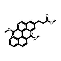 COC(=O)CCc1ccc2c(-c3c(C(=O)OC)ccc4ccccc34)c(C(=O)OC)ccc2c1